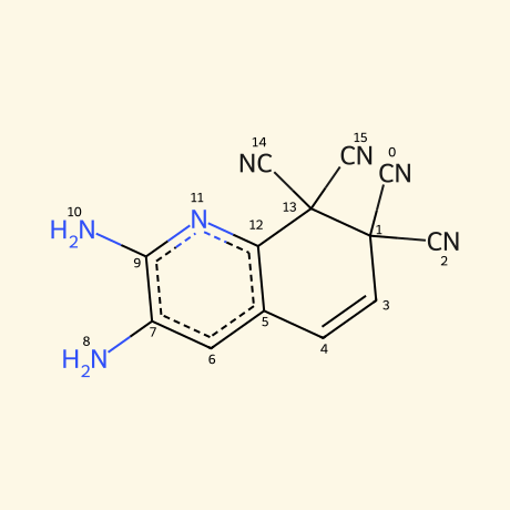 N#CC1(C#N)C=Cc2cc(N)c(N)nc2C1(C#N)C#N